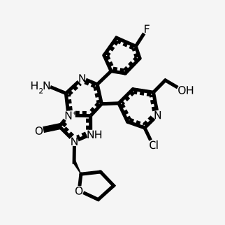 Nc1nc(-c2ccc(F)cc2)c(-c2cc(Cl)nc(CO)c2)c2[nH]n(C[C@H]3CCCO3)c(=O)[n+]12